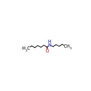 [CH2]CCCCCC(=O)NCCCCC